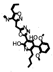 C=Nc1c(Cc2nnc(-c3c(O)nc(CCCC)c(-c4c(OC)cccc4OC)c3O)o2)noc1/C=C\C